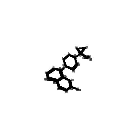 NC1([C@H]2CC[C@@H](c3ccnc4ccc(F)cc43)CC2)CC1